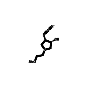 COCCN1C[C@@H](O)[C@H](N=[N+]=[N-])C1